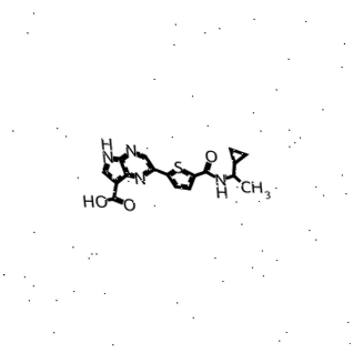 CC(NC(=O)c1ccc(-c2cnc3[nH]cc(C(=O)O)c3n2)s1)C1CC1